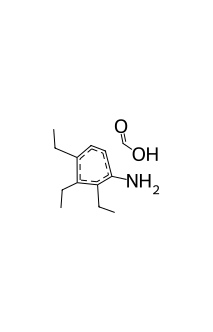 CCc1ccc(N)c(CC)c1CC.O=CO